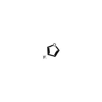 [P].c1ccoc1